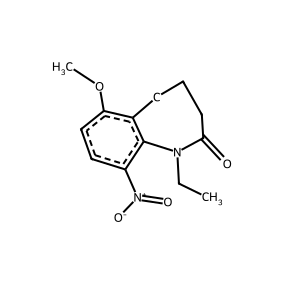 CCN1C(=O)CCCc2c(OC)ccc([N+](=O)[O-])c21